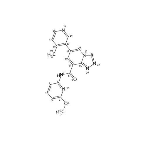 COc1cccc(NC(=O)c2cc(-c3cnccc3C)cn3cnnc23)n1